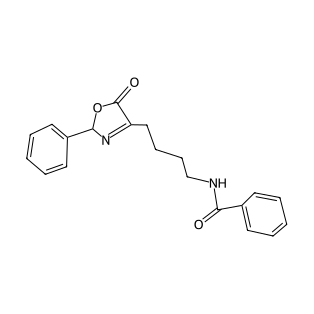 O=C1OC(c2ccccc2)N=C1CCCCNC(=O)c1ccccc1